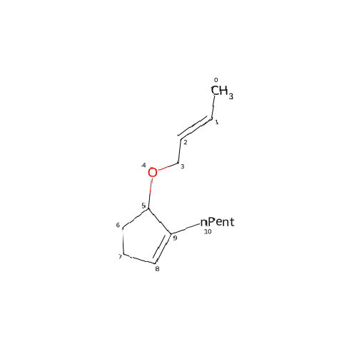 CC=CCOC1CCC=C1CCCCC